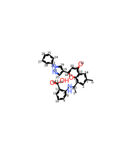 Cc1cc([C@@H](C)Nc2ccccc2C(=O)O)c2oc(-c3cnn(-c4ccccc4)c3)cc(=O)c2c1